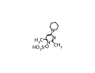 Cc1cc(N2CCCCC2)nc(C)[n+]1OS(=O)(=O)O